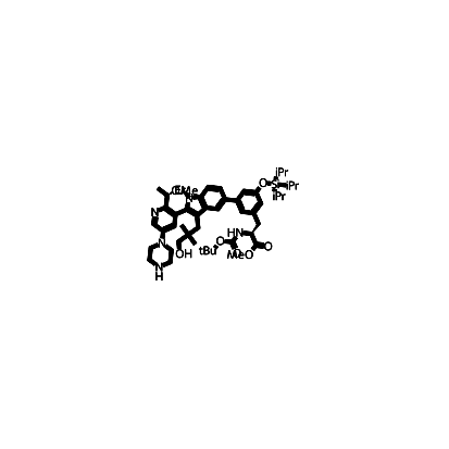 CCn1c(-c2cc(N3CCNCC3)cnc2[C@H](C)OC)c(CC(C)(C)CO)c2cc(-c3cc(C[C@H](NC(=O)OC(C)(C)C)C(=O)OC)cc(O[Si](C(C)C)(C(C)C)C(C)C)c3)ccc21